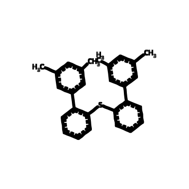 Cc1cc(C)cc(-c2ccccc2Sc2ccccc2-c2cc(C)cc(C)c2)c1